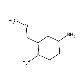 BC1CCN(B)C(COC)C1